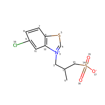 CC(C[n+]1csc2ccc(Cl)cc21)CS(=O)(=O)[O-]